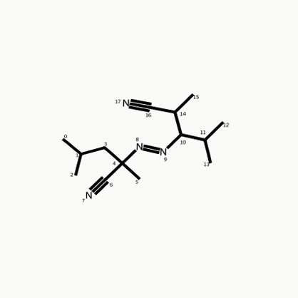 CC(C)CC(C)(C#N)N=NC(C(C)C)C(C)C#N